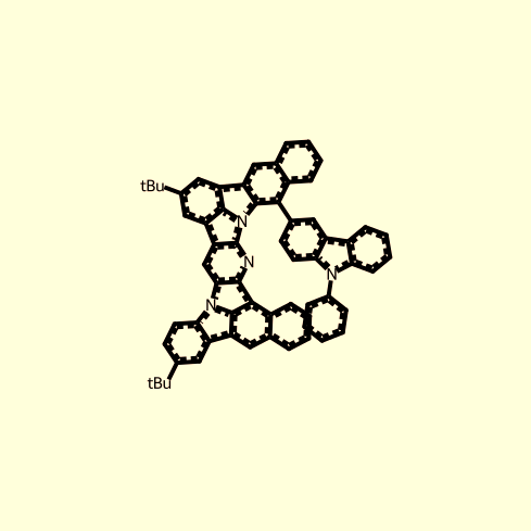 CC(C)(C)c1ccc2c(c1)c1cc3ccccc3c3c4nc5c(cc4n2c13)c1cc(C(C)(C)C)cc2c3cc4ccccc4c(-c4ccc6c(c4)c4ccccc4n6-c4ccccc4)c3n5c12